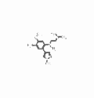 COc1cc(N(C)CCN(C)C)c(-c2cnn(C)c2)cc1N